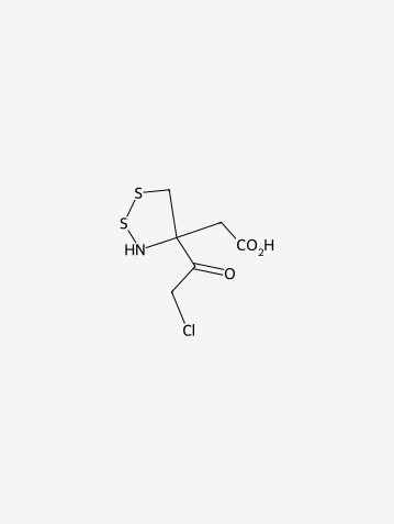 O=C(O)CC1(C(=O)CCl)CSSN1